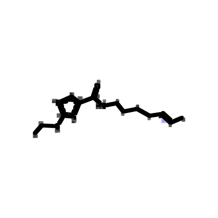 C/C=C/CCCCNC(=O)c1cnc(SCC)s1